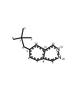 CC(C)(C)Cc1ccc2cnncc2c1